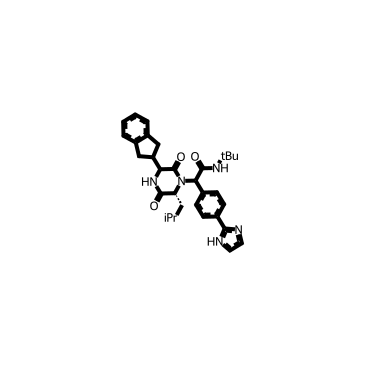 CC(C)C[C@@H]1C(=O)NC(C2Cc3ccccc3C2)C(=O)N1C(C(=O)NC(C)(C)C)c1ccc(-c2ncc[nH]2)cc1